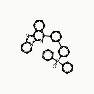 O=P(c1ccccc1)(c1ccccc1)c1cccc(-c2cccc(-c3nc4c(nc5ccccn54)c4ccccc34)c2)c1